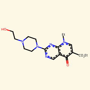 CCOC(=O)c1cn(CC)c2nc(N3CCN(CCO)CC3)ncc2c1=O